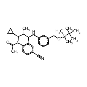 CC(=O)N1c2ccc(C#N)cc2[C@H](Nc2cccc(CO[Si](C)(C)C(C)(C)C)c2)[C@@H](C)[C@@H]1C1CC1